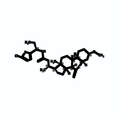 CC[C@@H](NC(=O)C[C@@H](C)[C@H]1CC[C@H]2[C@@H]3C(=O)C[C@@H]4C[C@H](OC)CC[C@]4(C)[C@H]3CC[C@]12C)c1ccc(Cl)s1